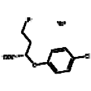 CC(C)CC[C@H](Oc1ccc(Cl)cc1)C(=O)[O-].[Na+]